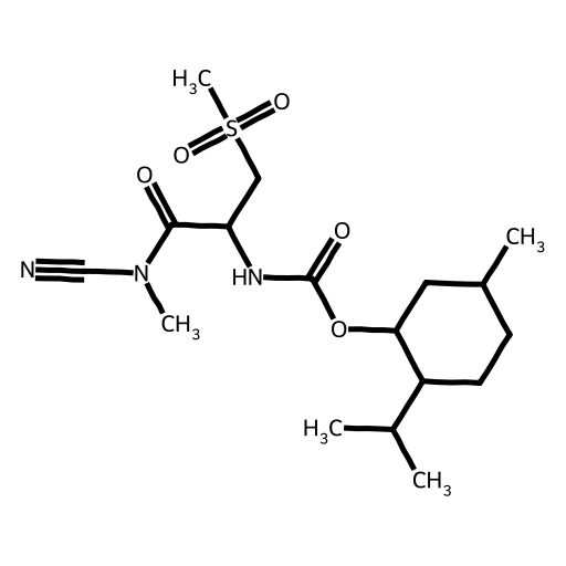 CC1CCC(C(C)C)C(OC(=O)NC(CS(C)(=O)=O)C(=O)N(C)C#N)C1